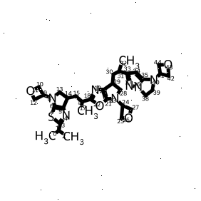 CC(C)c1nc2c(s1)N(C1COC1)CC2CC(C)c1nc2c(o1)N(C1COC1)CC2CC(C)c1cc2n(n1)CCN2C1COC1